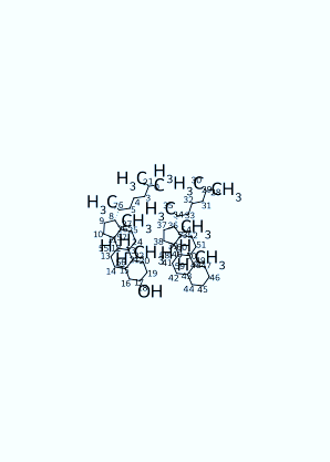 CC(C)CCCC(C)[C@H]1CC[C@H]2[C@@H]3CC=C4C[C@@H](O)CC[C@]4(C)[C@H]3CC[C@]12C.CC(C)CCCC(C)[C@H]1CC[C@H]2[C@@H]3CCC4CCCC[C@]4(C)[C@H]3CC[C@]12C